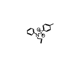 C=CCN(c1ccccc1)S(=O)(=O)c1ccc(C)cc1